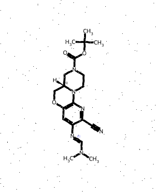 CN(C)/C=N/c1cc2c(nc1C#N)N1CCN(C(=O)OC(C)(C)C)C[C@H]1CO2